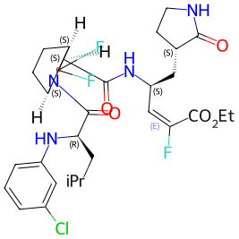 CCOC(=O)/C(F)=C\[C@H](C[C@@H]1CCNC1=O)NC(=O)[C@@H]1[C@@H]2CC[C@@H](CC2(F)F)N1C(=O)[C@@H](CC(C)C)Nc1cccc(Cl)c1